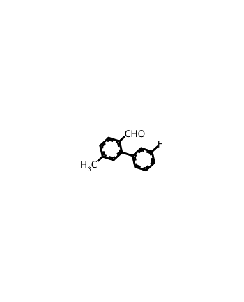 Cc1ccc(C=O)c(-c2cccc(F)c2)c1